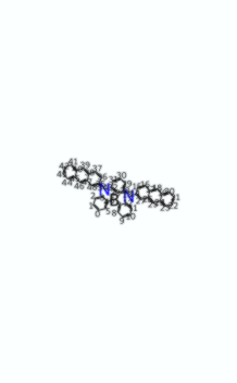 c1ccc2c(c1)B1c3ccccc3N(c3ccc4cc5ccccc5cc4c3)c3cccc(c31)N2c1ccc2cc3ccccc3cc2c1